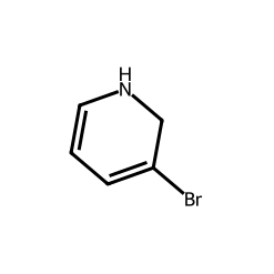 BrC1=CC=CNC1